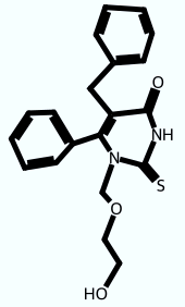 O=c1[nH]c(=S)n(COCCO)c(-c2ccccc2)c1Cc1ccccc1